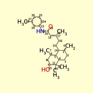 C=C1CCC2C(C(C)CC(O)C2(C)C)C1CCC(C)=CC(=O)Nc1cccc(C)c1